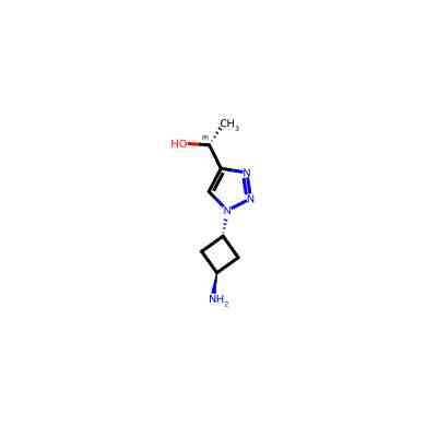 C[C@@H](O)c1cn([C@H]2C[C@H](N)C2)nn1